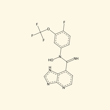 N=C(c1ccnc2nc[nH]c12)N(O)c1ccc(F)c(OC(F)(F)F)c1